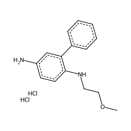 COCCNc1ccc(N)cc1-c1ccccc1.Cl.Cl